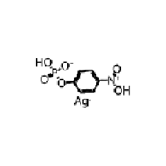 O=[N+](O)c1ccc(OP(=O)([O-])O)cc1.[Ag]